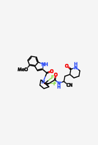 COc1cccc2[nH]c(C(=O)N3C4CCC(C3C(=O)NC(C#N)CC3CCCNC3=O)C(F)(F)C4)cc12